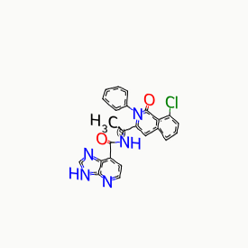 C[C@H](NC(=O)c1ccnc2[nH]cnc12)c1cc2cccc(Cl)c2c(=O)n1-c1ccccc1